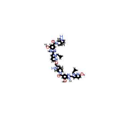 COc1ccc2cc(-c3nc4cc(C(=O)N5CC[C@@H]6CC(COc7ccc8cc(-c9nc%10cc(C(=O)N%11CC[C@H]%12CCN[C@H]%12C%11)cc(OC)c%10n9C)n(CC9CC9)c8n7)N[C@@H]6C5)cc(OC)c4n3C)n(CC3CC3)c2n1